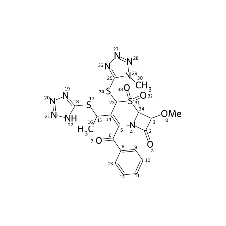 COC1C(=O)N2C(C(=O)c3ccccc3)=C(C(C)Sc3nnn[nH]3)C(Sc3nnnn3C)S(=O)(=O)C12